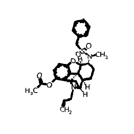 C=CCN1CC[C@@]23c4c5ccc(OC(C)=O)c4C[C@@H]1[C@@H]2CC[C@@H](N(C)S(=O)(=O)Cc1ccccc1)[C@@H]3O5